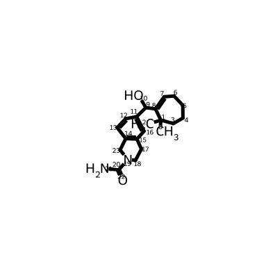 CC1(C)CCCCC=C1C(O)c1ccc2c(c1)CCN(C(N)=O)C2